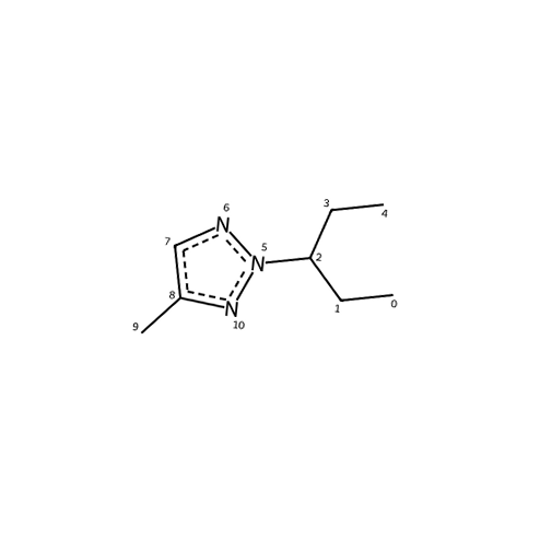 CCC(CC)n1ncc(C)n1